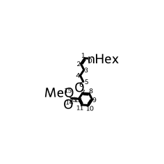 CCCCCC/C=C\CCCOc1ccccc1C(=O)OC